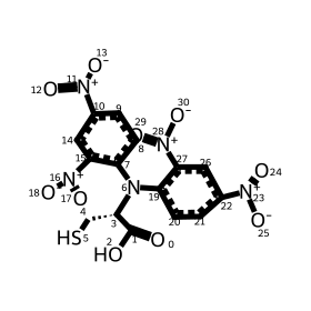 O=C(O)[C@H](CS)N(c1ccc([N+](=O)[O-])cc1[N+](=O)[O-])c1ccc([N+](=O)[O-])cc1[N+](=O)[O-]